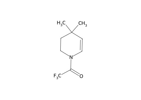 CC1(C)C=CN(C(=O)C(F)(F)F)CC1